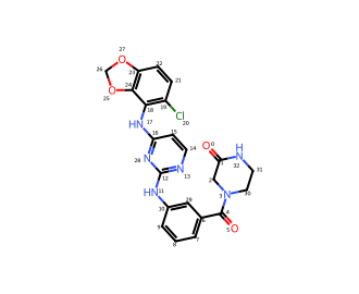 O=C1CN(C(=O)c2cccc(Nc3nccc(Nc4c(Cl)ccc5c4OCO5)n3)c2)CCN1